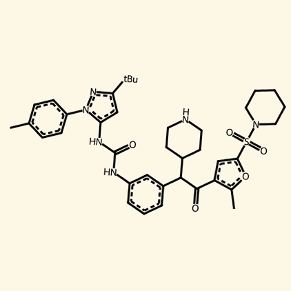 Cc1ccc(-n2nc(C(C)(C)C)cc2NC(=O)Nc2cccc(C(C(=O)c3cc(S(=O)(=O)N4CCCCC4)oc3C)C3CCNCC3)c2)cc1